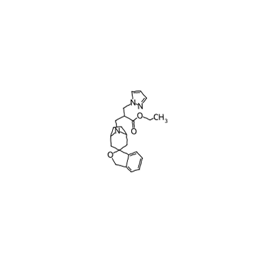 CCOC(=O)C(CN1C2CCC1CC1(C2)OCc2ccccc21)Cn1cccn1